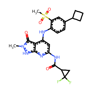 Cn1[nH]c2nc(NC(=O)C3CC3(F)F)cc(Nc3ccc(C4CCC4)cc3S(C)(=O)=O)c2c1=O